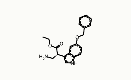 CCOC(=O)[C@H](CN)c1c[nH]c2ccc(OCc3ccccc3)cc12